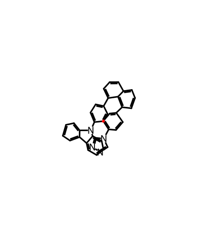 c1cc(-c2ccc(-n3cnnc3)cc2)c2c(-c3ccc(-n4c5ccccc5c5ccccc54)cc3)cccc2c1